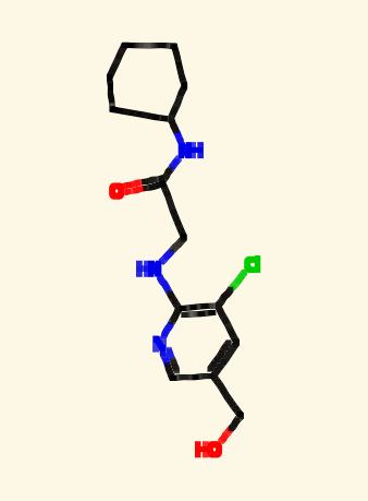 O=C(CNc1ncc(CO)cc1Cl)NC1CCCCC1